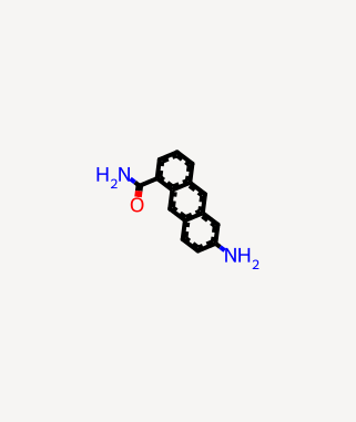 NC(=O)c1cccc2cc3cc(N)ccc3cc12